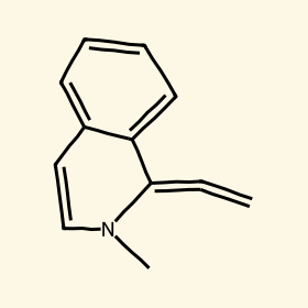 C=C=C1c2ccccc2C=CN1C